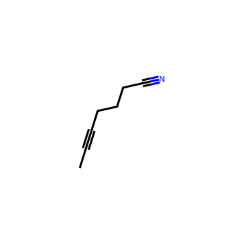 CC#CCCCC#N